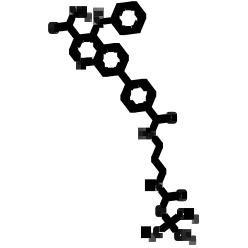 CC(C)(C)OC(=O)NCCCNC(=O)c1ccc(-c2ccc3c(Nc4ccccc4)c(C(N)=O)cnc3c2)cc1